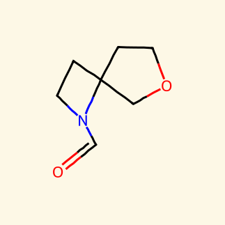 O=CN1CCC12CCOC2